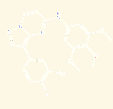 COc1cc(Nc2ccn3ncc(-c4ccc(F)c(Cl)c4)c3n2)cc(OC)c1OC